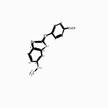 O=Cc1ccc(Oc2nc3ccc(OC(F)(F)F)cc3s2)cc1